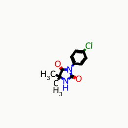 CC1(C)NC(=O)N(c2ccc(Cl)cc2)C1=O